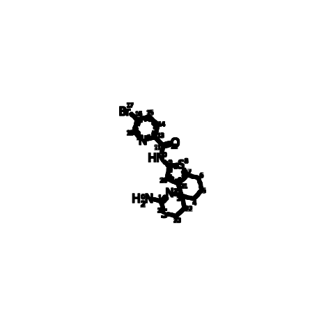 NC1=NC2(CCCc3sc(NC(=O)c4ccc(Br)cn4)cc32)CCS1